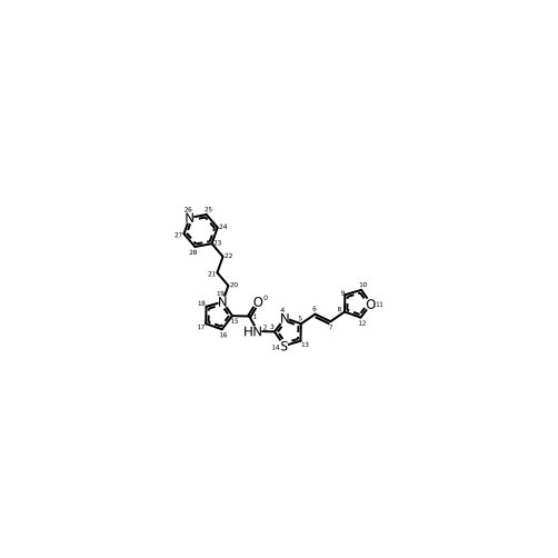 O=C(Nc1nc(C=Cc2ccoc2)cs1)c1cccn1CCCc1ccncc1